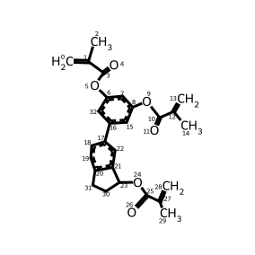 C=C(C)C(=O)Oc1cc(OC(=O)C(=C)C)cc(-c2ccc3c(c2)C(OC(=O)C(=C)C)CC3)c1